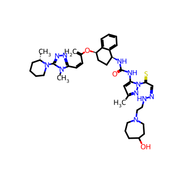 C=C(/C=C\c1nnc(N2CCCC[C@@H]2C)n1C)O[C@@H]1CC[C@H](NC(=O)Nc2cc(C)nn2C(=S)/C=N\NCCN2CCCC(O)CC2)c2ccccc21